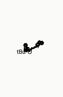 CC(C)(C)c1cc(C(=O)NCCCCCN2CCC3(C=Cc4ccccc43)CC2)n(Cc2ccccc2)n1